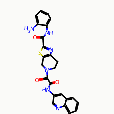 Nc1ccccc1NC(=O)c1nc2c(s1)CN(C(=O)C(=O)Nc1cnc3ccccc3c1)CC2